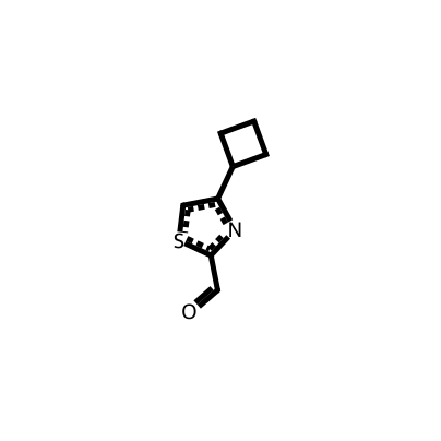 O=Cc1nc(C2CCC2)cs1